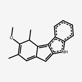 COC1=C(C)C=C2C=c3[nH]c4ccccc4c3=C2C1C